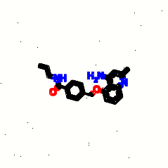 CCCNC(=O)[C@H]1CC[C@H](COc2cccc3nc(C)cc(N)c23)CC1